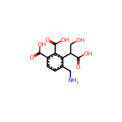 NCc1ccc(C(=O)O)c(C(=O)O)c1C(CO)C(=O)O